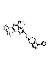 Cc1c(-c2ncco2)nc(N)n2nc(CCN3CCn4c(cnc4C45CC(C4)C5)C3)nc12